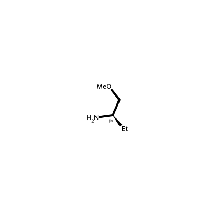 CC[C@@H](N)COC